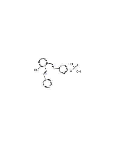 O=S(=O)(O)O.Oc1cccc(/C=C/c2ccccc2)c1/C=C/c1ccccc1